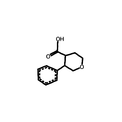 O=C(O)C1CCOCC1c1ccccc1